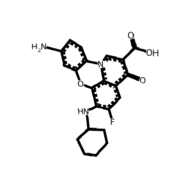 Nc1ccc2c(c1)Oc1c(NC3CCCCC3)c(F)cc3c(=O)c(C(=O)O)cn-2c13